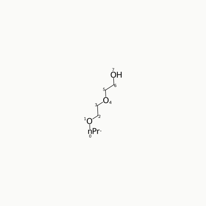 CC[CH]OCCOCCO